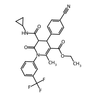 CCOC(=O)C1=C(C)N(c2cccc(C(F)(F)F)c2)C(=O)C(C(=O)NC2CC2)C1c1ccc(C#N)cc1